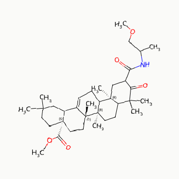 COCC(C)NC(=O)C1C[C@@]2(C)C(CC[C@]3(C)C2CC=C2C4CC(C)(C)CC[C@]4(C(=O)OC)CC[C@]23C)C(C)(C)C1=O